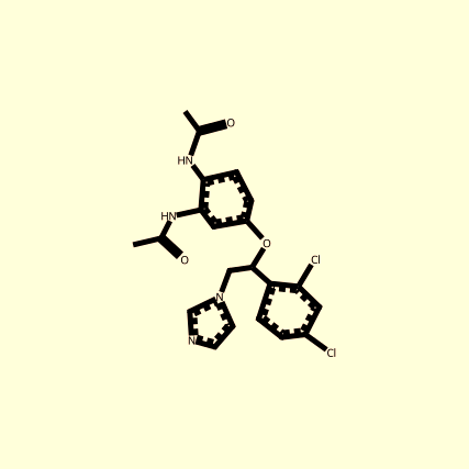 CC(=O)Nc1ccc(OC(Cn2ccnc2)c2ccc(Cl)cc2Cl)cc1NC(C)=O